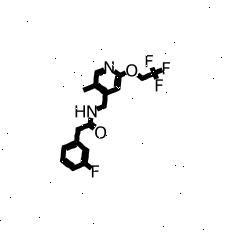 Cc1cnc(OCC(F)(F)F)cc1CNC(=O)Cc1cccc(F)c1